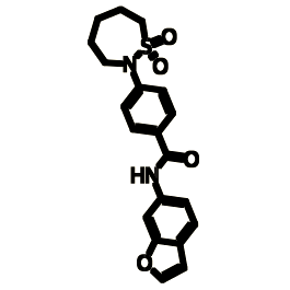 O=C(Nc1ccc2ccoc2c1)c1ccc(N2CCCCCS2(=O)=O)cc1